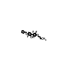 CCCCOc1ccc(-c2ccc(OCC3CCCC3)c(F)c2O)c(F)c1F